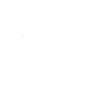 COc1cccc2c1CCC(CCCC(=O)N1CCCCC1)C2=O